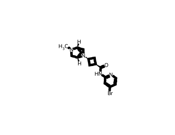 CN1C[C@@H]2C[C@H]1CN2[C@H]1C[C@H](C(=O)Nc2cc(Br)ccn2)C1